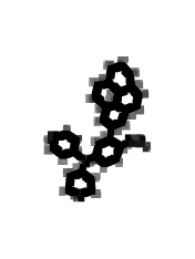 O=[N+]([O-])c1ccc(N(c2ccncc2)c2ccncc2)cc1-c1cc2ccc3cccc4ccc(c1)c2c34